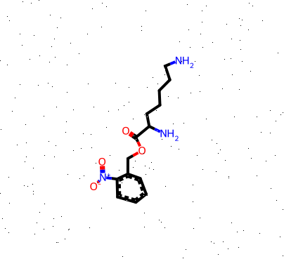 NCCCCCC(N)C(=O)OCc1ccccc1[N+](=O)[O-]